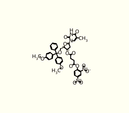 COc1ccc(C(OC[C@H]2O[C@@H](n3cc(C)c(=O)[nH]c3=O)C[C@@H]2OC(=O)CCC(=O)Oc2ccc([N+](=O)[O-])cc2[N+](=O)[O-])(c2ccccc2)c2ccc(OC)cc2)cc1